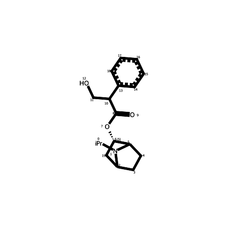 CC(C)N1C2CCC1[C@@H](OC(=O)C(CO)c1ccccc1)C2